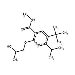 CNC(=O)c1cc(C(C)(C)C)c(C(C)C)cc1OCC(C)O